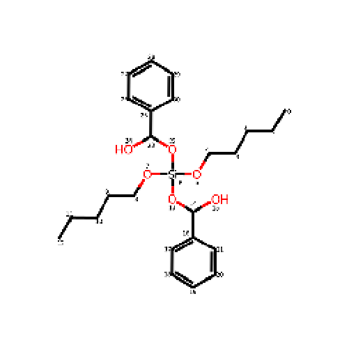 CCCCCO[Si](OCCCCC)(OC(O)c1ccccc1)OC(O)c1ccccc1